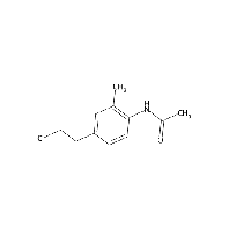 CC(=O)Nc1ccc(CCCl)cc1C